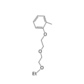 CCOCCOCCOc1ccccc1C